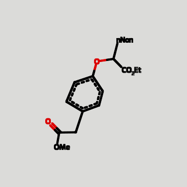 CCCCCCCCCC(Oc1ccc(CC(=O)OC)cc1)C(=O)OCC